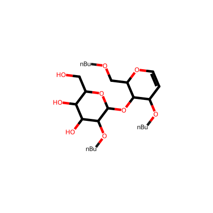 CCCCOCC1OC=CC(OCCCC)C1OC1OC(CO)C(O)C(O)C1OCCCC